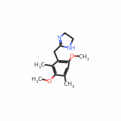 COc1cc(C)c(OC)c(C)c1CC1=NCCN1